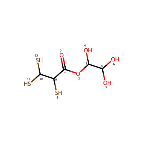 O=C(OC(O)C(O)O)C(S)C(S)S